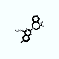 CC(=O)Nc1nc(N2CCS(=O)(=O)c3ccccc3C2)nc2ccc(C)cc12